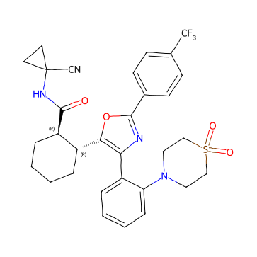 N#CC1(NC(=O)[C@@H]2CCCC[C@H]2c2oc(-c3ccc(C(F)(F)F)cc3)nc2-c2ccccc2N2CCS(=O)(=O)CC2)CC1